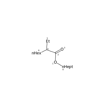 CCCCCCCOC(=O)C(CC)CCCCCC